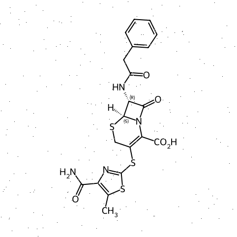 Cc1sc(SC2=C(C(=O)O)N3C(=O)[C@@H](NC(=O)Cc4ccccc4)[C@@H]3SC2)nc1C(N)=O